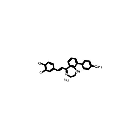 COc1ccc(-c2cccc3c2NCCN=C3C=Cc2ccc(Cl)c(Cl)c2)cc1.Cl